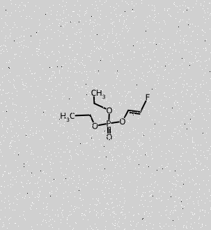 CCOP(=O)(O/C=C/F)OCC